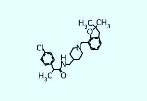 CC(C(=O)NCC1CCN(Cc2cccc3c2OC(C)(C)C3)CC1)c1ccc(Cl)cc1